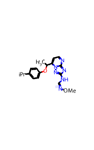 CO/N=C\Nc1nc2nccc(C(C)Oc3ccc(C(C)C)cc3)n2n1